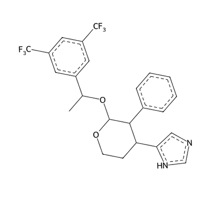 CC(OC1OCCC(c2cnc[nH]2)C1c1ccccc1)c1cc(C(F)(F)F)cc(C(F)(F)F)c1